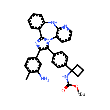 Cc1ccc(-c2nc3n(c2-c2ccc(C4(NC(=O)OC(C)(C)C)CCC4)cc2)-c2cccnc2Nc2ccccc2-3)cc1N